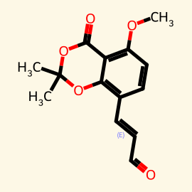 COc1ccc(/C=C/C=O)c2c1C(=O)OC(C)(C)O2